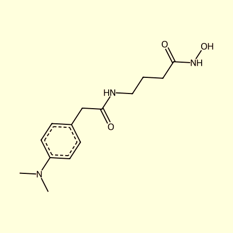 CN(C)c1ccc(CC(=O)NCCCC(=O)NO)cc1